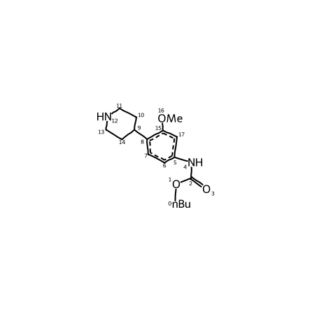 CCCCOC(=O)Nc1ccc(C2CCNCC2)c(OC)c1